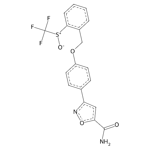 NC(=O)c1cc(-c2ccc(OCc3ccccc3[S+]([O-])C(F)(F)F)cc2)no1